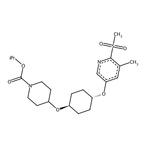 Cc1cc(O[C@H]2CC[C@H](OC3CCN(C(=O)OC(C)C)CC3)CC2)cnc1S(C)(=O)=O